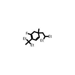 CCC(CC)CC1(C)C=CC(C(C)(CC)CC)=C(F)C1